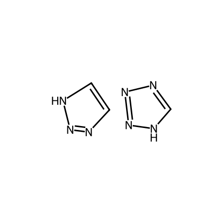 c1c[nH]nn1.c1nnn[nH]1